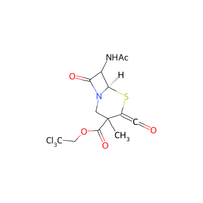 CC(=O)NC1C(=O)N2CC(C)(C(=O)OCC(Cl)(Cl)Cl)C(=C=O)S[C@H]12